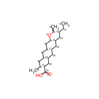 C=COCCCCCCCC.CCCCCCCCCCCC(=O)O